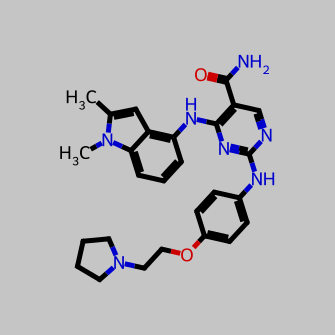 Cc1cc2c(Nc3nc(Nc4ccc(OCCN5CCCC5)cc4)ncc3C(N)=O)cccc2n1C